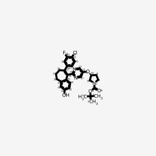 CC(C)(C)OC(=O)N1CC[C@H](Oc2cnc(C3=C(c4ccc(Cl)c(F)c4)CCCc4cc(O)ccc43)nc2)C1